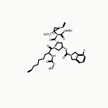 C=CCCCCCC(NC(=O)OC(C)(C)C)C(=O)N1C[C@H](OC(=O)N2Cc3cccc(F)c3C2)C[C@H]1C(=O)N(C(=O)OC(C)(C)C)[C@]1(C(=O)OCC)C[C@H]1C=C